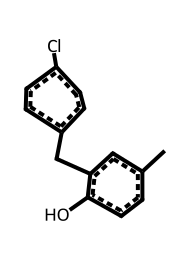 Cc1ccc(O)c(Cc2ccc(Cl)cc2)c1